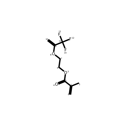 C=C(C)C(=O)OCCOC(=C)C(F)(F)F